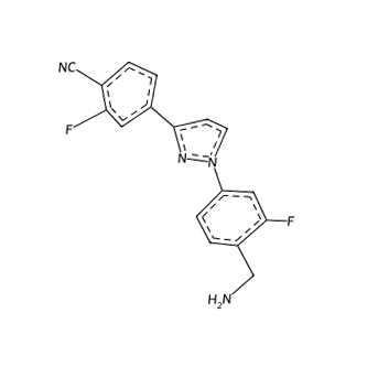 N#Cc1ccc(-c2ccn(-c3ccc(CN)c(F)c3)n2)cc1F